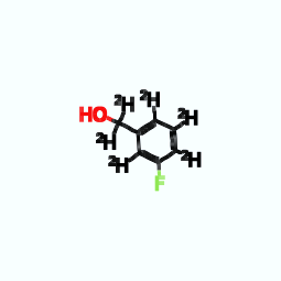 [2H]c1c([2H])c(F)c([2H])c(C([2H])([2H])O)c1[2H]